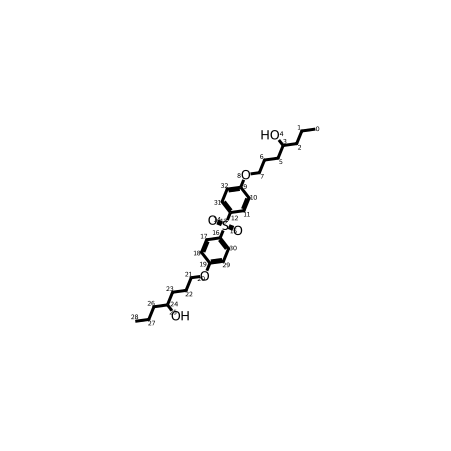 CCCC(O)CCCOc1ccc(S(=O)(=O)c2ccc(OCCCC(O)CCC)cc2)cc1